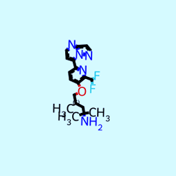 C[C@H](COc1ccc(-c2ccnc3ccnn23)nc1C(F)F)CC(C)(C)N